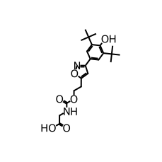 CC(C)(C)c1cc(-c2cc(CCOC(=O)NCC(=O)O)on2)cc(C(C)(C)C)c1O